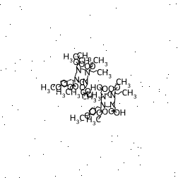 CCCC(C(=O)OCC)N1CCN(CC(=O)O)CCN(C(Cc2ccc(OCC)cc2)C(=O)OCC)CCN(CC(=O)O)CC1.CCCC(C(=O)OCC)N1CCN(CC(=O)OC(C)(C)C)CCN(C(Cc2ccc(OCC)cc2)C(=O)OCC)CCN(CC(=O)OC(C)(C)C)CC1